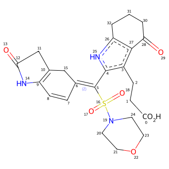 O=C(O)CCc1c(/C(=C2/C=CC3=C(CC(=O)N3)C2)S(=O)(=O)N2CCOCC2)[nH]c2c1C(=O)CCC2